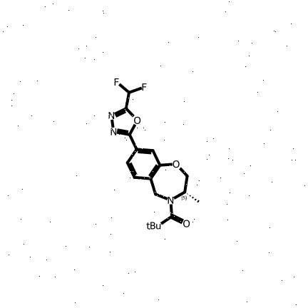 C[C@H]1COc2cc(-c3nnc(C(F)F)o3)ccc2CN1C(=O)C(C)(C)C